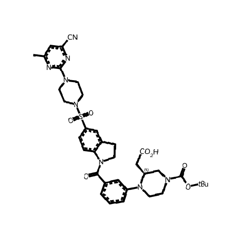 Cc1cc(C#N)nc(N2CCN(S(=O)(=O)c3ccc4c(c3)CCN4C(=O)c3cccc(N4CCN(C(=O)OC(C)(C)C)C[C@@H]4CC(=O)O)c3)CC2)n1